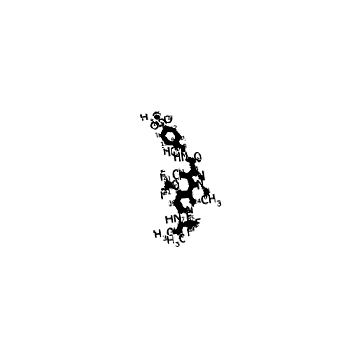 CCn1nc(C(=O)NCC2(O)CCC(S(C)(=O)=O)CC2)c(Cl)c1-c1cnc(N[C@H](C(C)C)C(F)(F)F)cc1OC(F)F